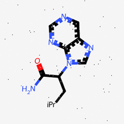 CC(C)CC(C(N)=O)n1cnc2cncnc21